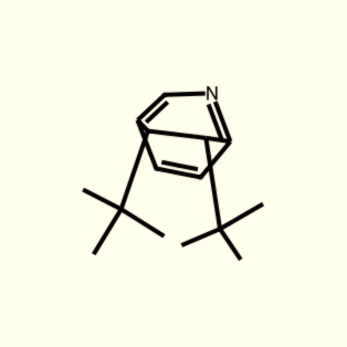 CC(C)(C)C1c2ccc(nc2)C1C(C)(C)C